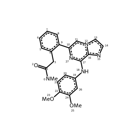 CNC(=O)Cc1cc[c]cc1-c1cn2ccnc2c(Nc2ccc(OC)c(OC)c2)n1